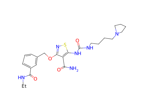 CCNC(=O)c1cccc(COc2nsc(NC(=O)NCCCCN3CCCC3)c2C(N)=O)c1